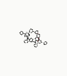 c1ccc(-c2cccc(-c3nc(-c4ccccc4)nc(-n4c5ccccc5c5cc6c(cc54)c4ccccc4n6-c4ccccc4-c4cc(-c5ccccc5)cc(-c5ccccc5)c4)n3)c2)cc1